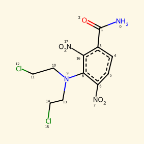 NC(=O)c1ccc([N+](=O)[O-])c(N(CCCl)CCCl)c1[N+](=O)[O-]